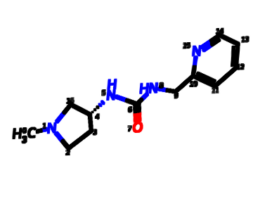 CN1CC[C@@H](NC(=O)NCc2ccccn2)C1